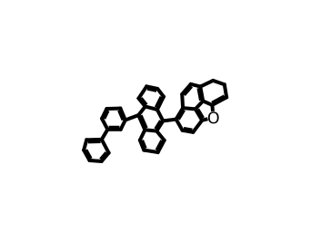 C1=c2oc3ccc(-c4c5ccccc5c(-c5cccc(-c6ccccc6)c5)c5ccccc45)c4ccc(c2c34)CC1